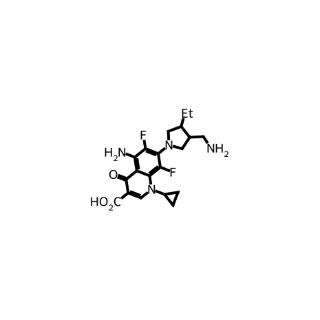 CCC1CN(c2c(F)c(N)c3c(=O)c(C(=O)O)cn(C4CC4)c3c2F)CC1CN